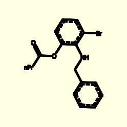 CCCC(=O)Oc1cccc(Br)c1NCc1ccccc1